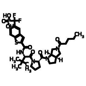 CCCCC(=O)N1C[C@H]2CCN(C(=O)[C@@H]3CCCN3C(=O)[C@@H](NC(=O)c3cc4cc(C(F)(F)P(=O)(O)O)ccc4s3)C(C)(C)C)[C@H]2C1